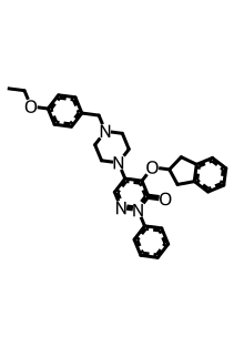 CCOc1ccc(CN2CCN(c3cnn(-c4ccccc4)c(=O)c3OC3Cc4ccccc4C3)CC2)cc1